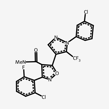 CNC(=O)c1c(-c2c(F)cccc2Cl)noc1-c1cnn(-c2cccc(Cl)c2)c1C(F)(F)F